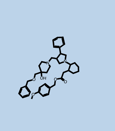 COc1ccc(COC(=O)CC2CCCCC2N2CC(CN3CCC(O)(COCc4ccccc4)CC3)C(c3ccccc3)C2)cc1